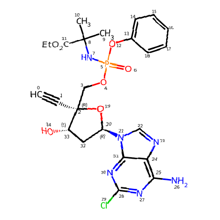 C#C[C@]1(COP(=O)(NC(C)(C)C(=O)OCC)Oc2ccccc2)O[C@@H](n2cnc3c(N)nc(Cl)nc32)C[C@@H]1O